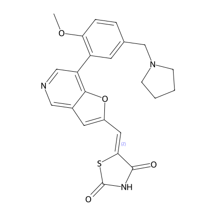 COc1ccc(CN2CCCC2)cc1-c1cncc2cc(/C=C3\SC(=O)NC3=O)oc12